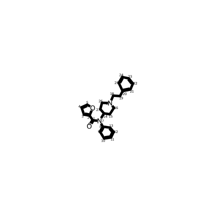 O=C(c1ccco1)N(C1=CC=C=C=C1)C1CCN(CCc2ccccc2)CC1